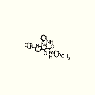 CN1CCN(NC(=O)c2c(=O)c3ccc(N4CCOCC4)nc3n3c2[nH]c2ccccc23)CC1